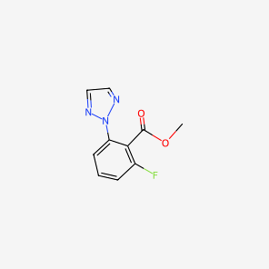 COC(=O)c1c(F)cccc1-n1nccn1